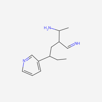 CCC(CC(C=N)C(C)N)c1cccnc1